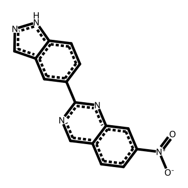 O=[N+]([O-])c1ccc2cnc(-c3ccc4[nH]ncc4c3)nc2c1